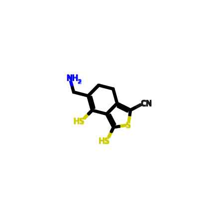 N#Cc1sc(S)c2c1CCC(CN)=C2S